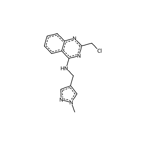 Cn1cc(CNc2nc(CCl)nc3ccccc23)cn1